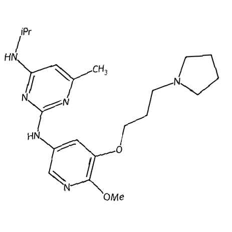 COc1ncc(Nc2nc(C)cc(NC(C)C)n2)cc1OCCCN1CCCC1